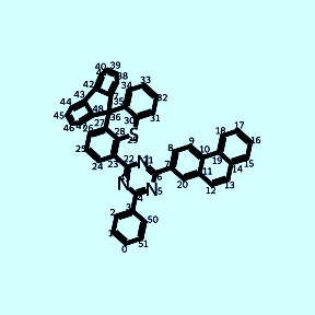 c1ccc(-c2nc(-c3ccc4c(ccc5ccccc54)c3)nc(-c3cccc4c3Sc3ccccc3C43c4ccccc4-c4ccccc43)n2)cc1